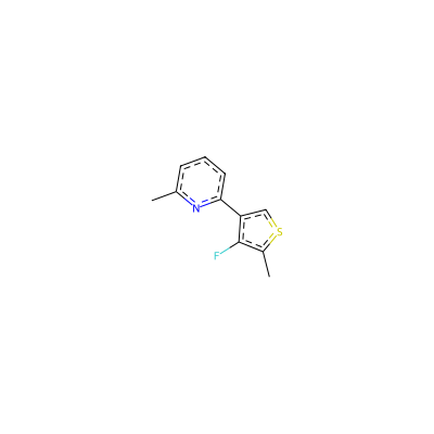 Cc1cccc(-c2csc(C)c2F)n1